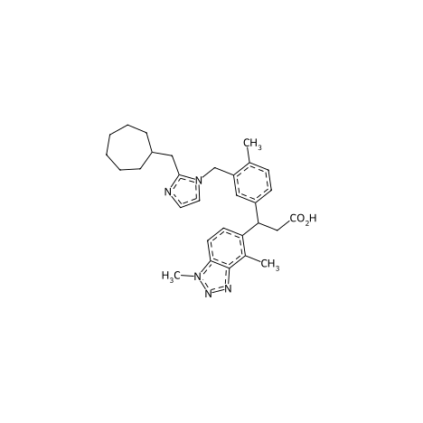 Cc1ccc(C(CC(=O)O)c2ccc3c(nnn3C)c2C)cc1Cn1ccnc1CC1CCCCCC1